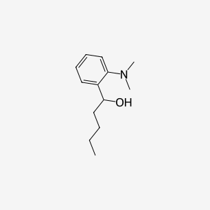 CCCCC(O)c1ccccc1N(C)C